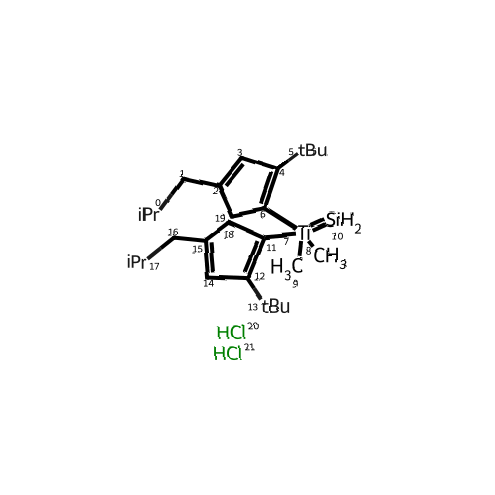 CC(C)CC1=CC(C(C)(C)C)=[C]([Ti]([CH3])([CH3])(=[SiH2])[C]2=C(C(C)(C)C)C=C(CC(C)C)C2)C1.Cl.Cl